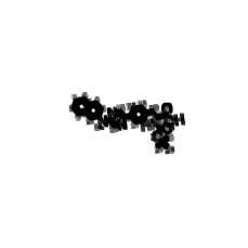 CN(c1ccc2ccccc2c1)c1cnc(-c2ccc(C[C@H](NC(=O)OC(C)(C)C)C(=O)O)cc2)cn1